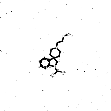 COCCN1CCC2(CC1)CN(C(C)C)c1ccccc12